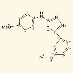 COc1ccc(Nc2nnc(-c3cc(OC(C)C)ccn3)o2)nc1